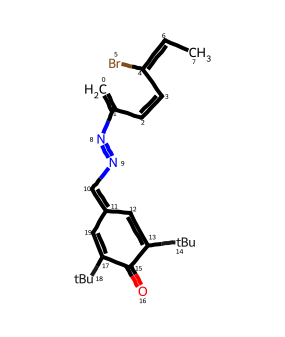 C=C(/C=C\C(Br)=C/C)N=NC=C1C=C(C(C)(C)C)C(=O)C(C(C)(C)C)=C1